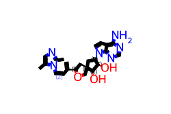 C=C(/C=C\n1c(C)cnc1C)[C@H]1C[C@@]2(CO1)C[C@@H](n1ccc3c(N)ncnc31)[C@H](O)[C@@H]2O